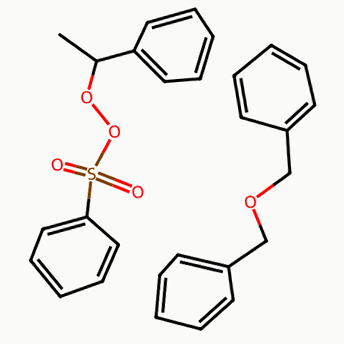 CC(OOS(=O)(=O)c1ccccc1)c1ccccc1.c1ccc(COCc2ccccc2)cc1